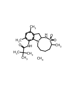 C.Cc1cc(C)c(NC(=O)C(C)(C)C)c2c1CC1NS(=O)(=O)C(C)CCCCN21